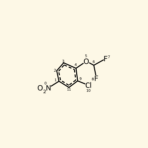 O=[N+]([O-])c1ccc(OC(F)F)c(Cl)c1